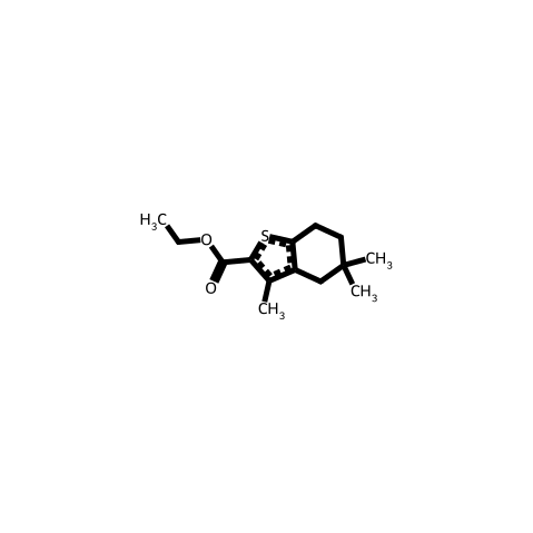 CCOC(=O)c1sc2c(c1C)CC(C)(C)CC2